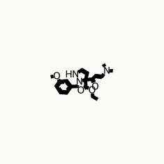 CCOC(=O)C1(C(=O)C=CN(C)C)C=CNN1Cc1cccc(OC)c1